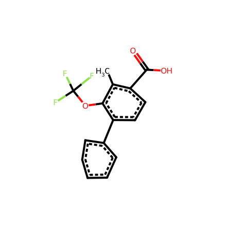 Cc1c(C(=O)O)ccc(-c2ccccc2)c1OC(F)(F)F